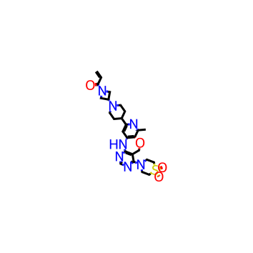 C=CC(=O)N1CC(N2CCC(c3cc4c(c(C)n3)OCc3c(ncnc3N3CCS(=O)(=O)CC3)N4)CC2)C1